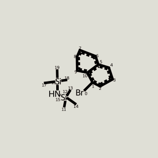 Brc1cccc2ccccc12.C[Si](C)(C)N[Si](C)(C)C